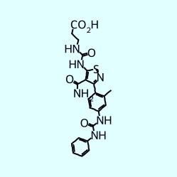 Cc1cc(NC(=O)Nc2ccccc2)ccc1-c1nsc(NC(=O)NCCC(=O)O)c1C(N)=O